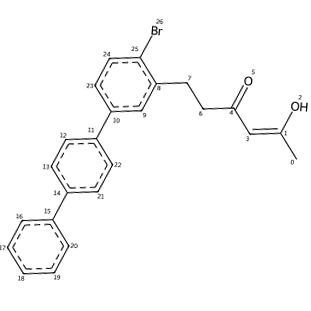 C/C(O)=C/C(=O)CCc1cc(-c2ccc(-c3ccccc3)cc2)ccc1Br